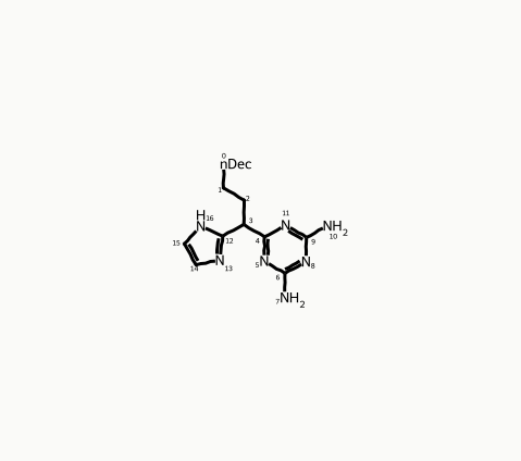 CCCCCCCCCCCCC(c1nc(N)nc(N)n1)c1ncc[nH]1